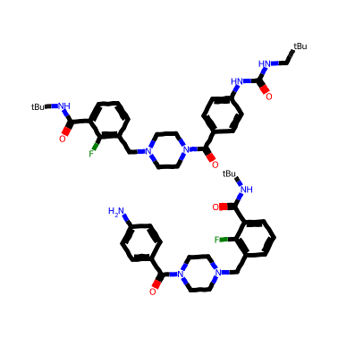 CC(C)(C)CNC(=O)Nc1ccc(C(=O)N2CCN(Cc3cccc(C(=O)NC(C)(C)C)c3F)CC2)cc1.CC(C)(C)NC(=O)c1cccc(CN2CCN(C(=O)c3ccc(N)cc3)CC2)c1F